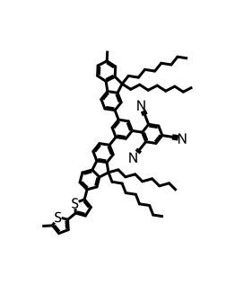 CCCCCCCCC1(CCCCCCCC)c2cc(C)ccc2-c2ccc(-c3cc(-c4ccc5c(c4)C(CCCCCCCC)(CCCCCCCC)c4cc(-c6ccc(-c7ccc(C)s7)s6)ccc4-5)cc(-c4c(C#N)cc(C#N)cc4C#N)c3)cc21